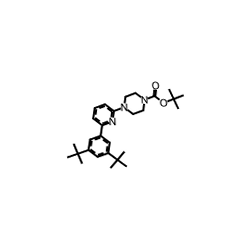 CC(C)(C)OC(=O)N1CCN(c2cccc(-c3cc(C(C)(C)C)cc(C(C)(C)C)c3)n2)CC1